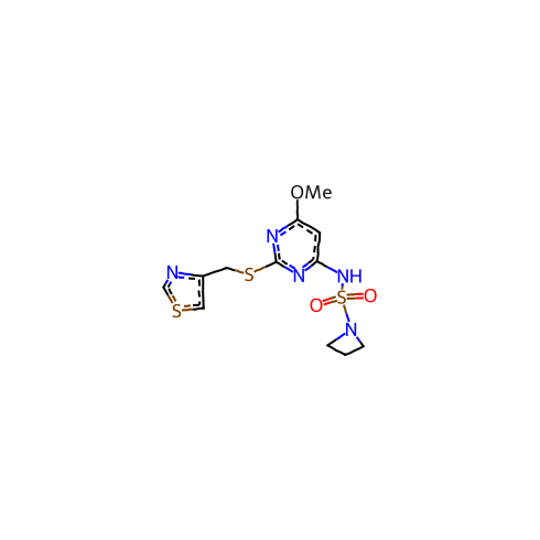 COc1cc(NS(=O)(=O)N2CCC2)nc(SCc2cscn2)n1